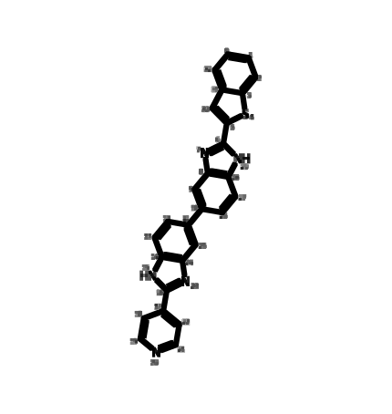 c1ccc2sc(-c3nc4cc(-c5ccc6[nH]c(-c7ccncc7)nc6c5)ccc4[nH]3)cc2c1